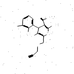 C#CCOCC1=C(C(=O)OCC)C(c2cccc(Cl)c2Cl)C(C(=O)OC)=C(C)N1